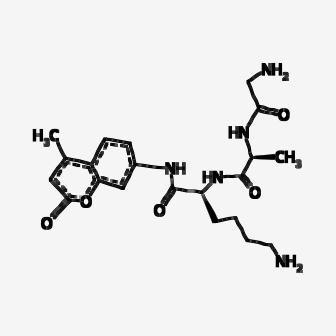 Cc1cc(=O)oc2cc(NC(=O)[C@H](CCCCN)NC(=O)[C@H](C)NC(=O)CN)ccc12